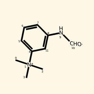 C[N+](C)(C)c1cccc(N[C]=O)c1